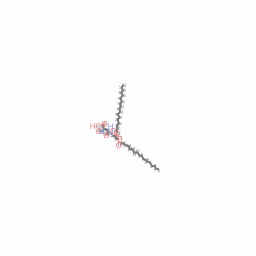 CCCCCCCCCCCCCCCCCC(=O)OCC(CNC(=O)CC(N=O)C(=O)O)OC(=O)CCCCCCCCCCCCCCCCC